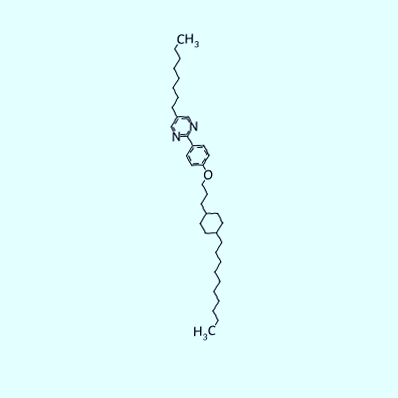 CCCCCCCCCCC1CCC(CCCOc2ccc(-c3ncc(CCCCCCCC)cn3)cc2)CC1